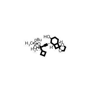 CCCC[Si](C)(C)O[C@](C)(C#C[C@H]1[C@@H]2CC3(OCCO3)[C@@H]2CC[C@@H]1O)C1CCC1